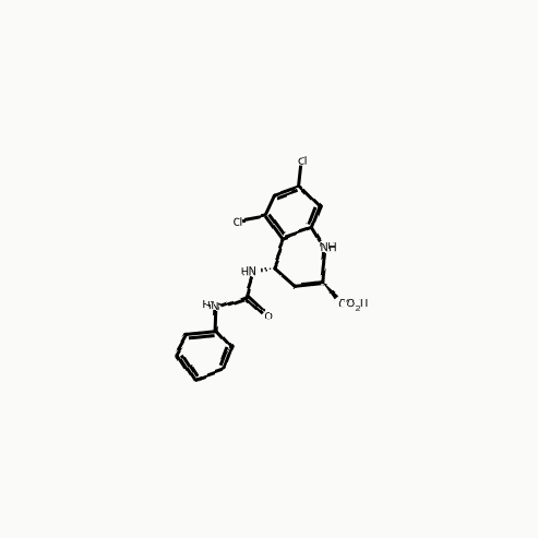 O=C(Nc1ccccc1)N[C@H]1C[C@H](C(=O)O)Nc2cc(Cl)cc(Cl)c21